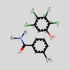 CCN(CC)C(=O)c1cccc(C)c1.Oc1cc(Cl)c(Cl)c(Cl)c1Cl